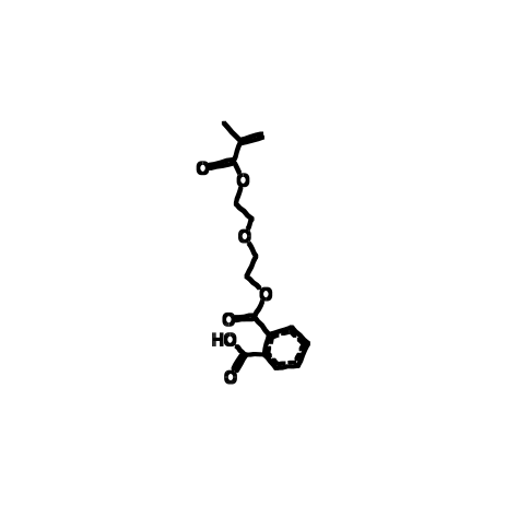 C=C(C)C(=O)OCCOCCOC(=O)c1ccccc1C(=O)O